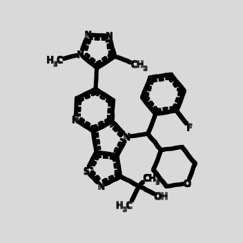 Cc1nnn(C)c1-c1cnc2c3snc(C(C)(C)O)c3n(C(c3ccccc3F)C3CCOCC3)c2c1